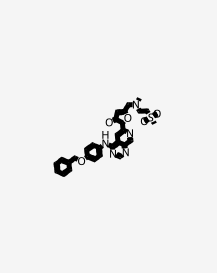 CN(CCS(C)(=O)=O)CC1=CC(=O)C(c2cc3c(Nc4ccc(OCc5ccccc5)cc4)ncnc3cn2)O1